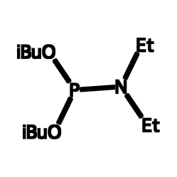 CCN(CC)P(OCC(C)C)OCC(C)C